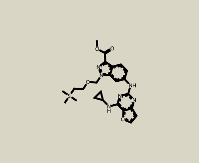 COC(=O)c1nn(COCC[Si](C)(C)C)c2cc(Nc3nc(NC4CC4)c4occc4n3)ccc12